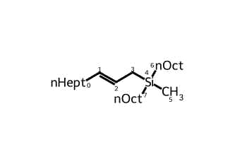 CCCCCCCC=CC[Si](C)(CCCCCCCC)CCCCCCCC